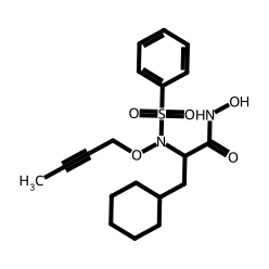 CC#CCON(C(CC1CCCCC1)C(=O)NO)S(=O)(=O)c1ccccc1